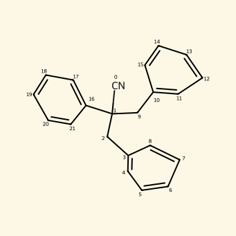 N#CC(Cc1ccccc1)(Cc1ccccc1)c1ccccc1